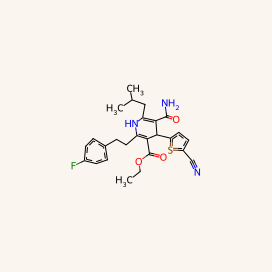 CCOC(=O)C1=C(CCc2ccc(F)cc2)NC(CC(C)C)=C(C(N)=O)C1c1ccc(C#N)s1